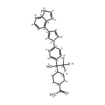 CC(=O)N1CCC(C(O)(c2ccc(-n3cc(-c4ccnc5[nH]cnc45)cn3)nc2)C(F)(F)F)CC1